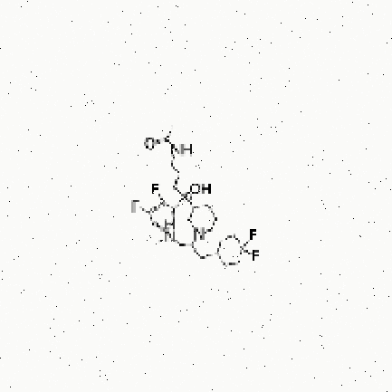 CNCC(CC1CCC(F)(F)CC1)N1CCCC([C@@](O)(CCCNC(C)=O)c2cccc(F)c2F)C1